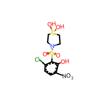 O=[N+]([O-])c1ccc(Cl)c(S(=O)(=O)N2CCS(O)(O)CC2)c1O